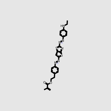 C=C(C)C(=O)OCCc1ccc(/N=N/c2cc3sc(/N=N/c4ccc(NCC)cc4)nc3s2)cc1